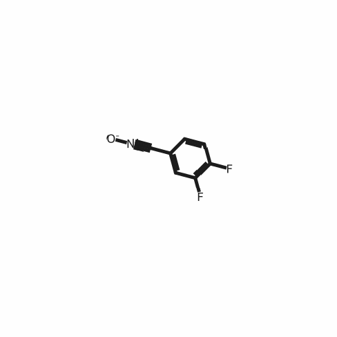 [O-][N+]#Cc1ccc(F)c(F)c1